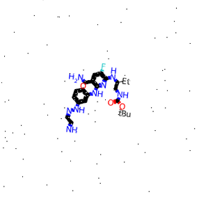 CC[C@H](CNC(=O)OC(C)(C)C)Nc1nc(Nc2cccc(N/N=C\C=N)c2)c(C(N)=O)cc1F